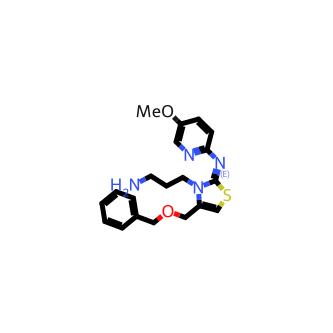 COc1ccc(/N=c2/scc(COCc3ccccc3)n2CCCN)nc1